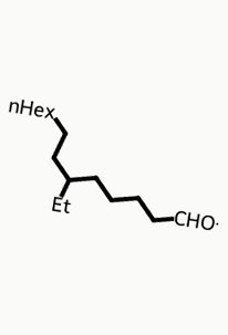 CCCCCCCCC(CC)CCCC[C]=O